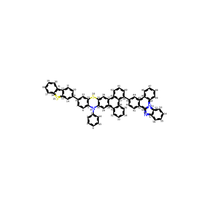 c1ccc(N2c3ccc(-c4ccc5c(c4)sc4ccccc45)cc3Sc3cc4c(cc32)c2ccccc2c2c(-c3ccc5c(c3)c3ccccc3n3c6ccccc6nc53)cccc42)cc1